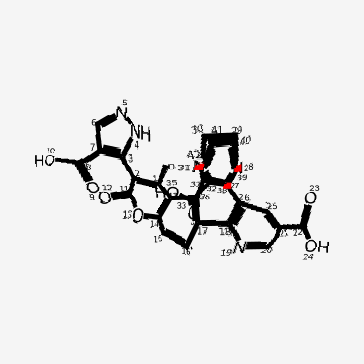 Cc1c(-c2[nH]ncc2C(=O)O)c(=O)oc2c[c]c(-c3ncc(C(=O)O)cc3-c3nccnc3C(=O)O)c(-c3ccccc3)c12